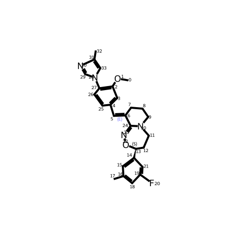 COc1cc(/C=C2\CCCN3CC[C@@H](c4cc(C)cc(F)c4)ON=C23)ccc1-n1cnc(C)c1